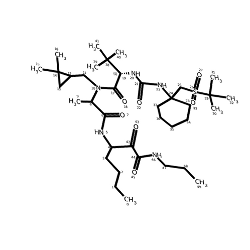 CCCCC(NC(=O)C(C)N(CC1CC1(C)C)C(=O)[C@@H](NC(=O)NC1(CS(=O)(=O)C(C)(C)C)CCCCC1)C(C)(C)C)C(=O)C(=O)NCCC